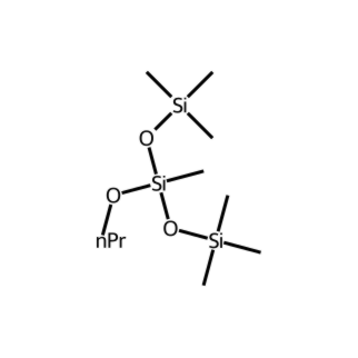 CCCO[Si](C)(O[Si](C)(C)C)O[Si](C)(C)C